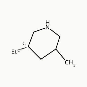 CC[C@@H]1CNCC(C)C1